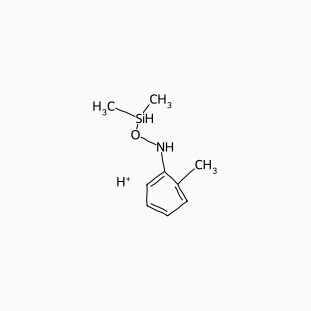 Cc1ccccc1NO[SiH](C)C.[H+]